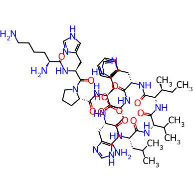 CC[C@H](C)[C@H](NC(=O)[C@@H](NC(=O)[C@H](CC(C)C)NC(=O)[C@H](Cc1c[nH]cn1)NC(=O)[C@H](Cc1ccccc1)NC(=O)[C@@H]1CCCN1C(=O)[C@H](Cc1c[nH]cn1)NC(=O)[C@@H](N)CCCCN)C(C)C)C(=O)N[C@@H](Cc1c[nH]cn1)C(=O)N[C@H](CCCCN)C(=O)O